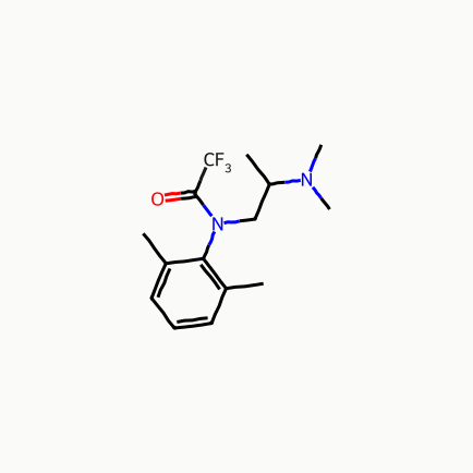 Cc1cccc(C)c1N(CC(C)N(C)C)C(=O)C(F)(F)F